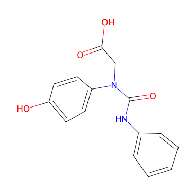 O=C(O)CN(C(=O)Nc1ccccc1)c1ccc(O)cc1